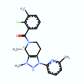 Cc1cccc(N2NN(C)C3=C2CCN(C(=O)c2cccc(C(F)(F)F)c2F)[C@H]3C)n1